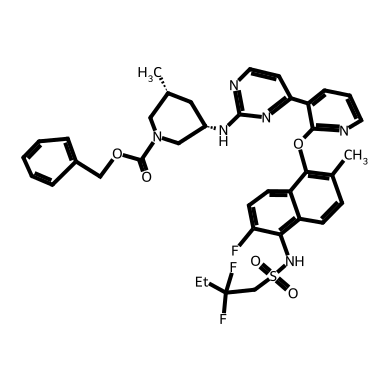 CCC(F)(F)CS(=O)(=O)Nc1c(F)ccc2c(Oc3ncccc3-c3ccnc(N[C@H]4C[C@@H](C)CN(C(=O)OCc5ccccc5)C4)n3)c(C)ccc12